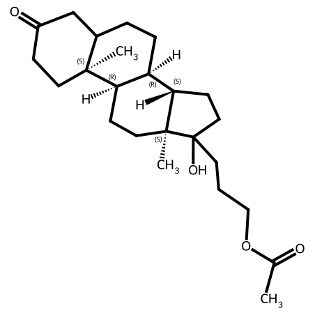 CC(=O)OCCCC1(O)CC[C@H]2[C@@H]3CCC4CC(=O)CC[C@]4(C)[C@@H]3CC[C@@]21C